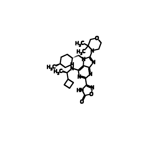 C[C@@H](Nc1nc(-c2noc(=O)[nH]2)nc2nc(N3CCOCC3(C)C)n(C[C@H]3CC[C@H](C)CC3)c12)C1CCC1